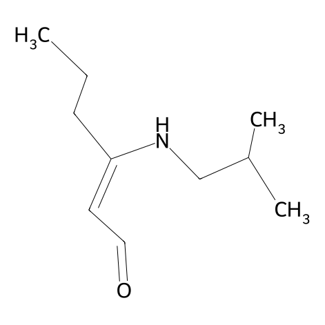 CCCC(=CC=O)NCC(C)C